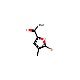 COC(=O)c1cc(C)c(Br)o1